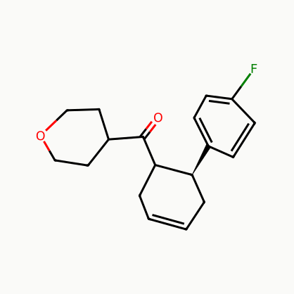 O=C(C1CCOCC1)C1CC=CC[C@@H]1c1ccc(F)cc1